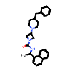 CC(NC(=O)N1CC(N2CCC(Cc3ccccc3)CC2)C1)c1cccc2ccccc12